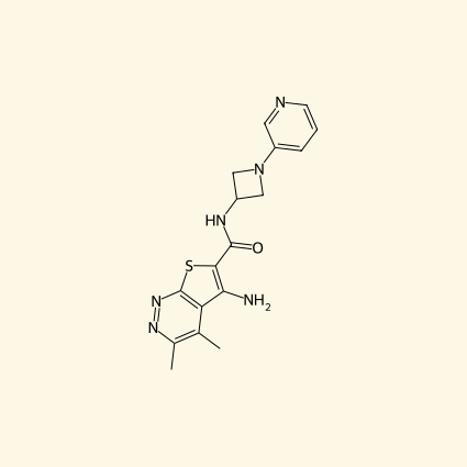 Cc1nnc2sc(C(=O)NC3CN(c4cccnc4)C3)c(N)c2c1C